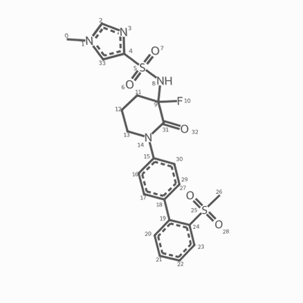 Cn1cnc(S(=O)(=O)NC2(F)CCCN(c3ccc(-c4ccccc4S(C)(=O)=O)cc3)C2=O)c1